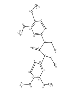 COc1ccc(C(CBr)C(=O)C(CBr)c2ccc(OC)c(OC)c2)cc1OC